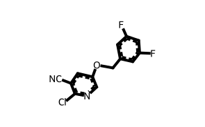 N#Cc1cc(OCc2cc(F)cc(F)c2)cnc1Cl